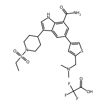 CCS(=O)(=O)N1CCC(c2c[nH]c3c(C(N)=O)cc(-c4csc(CN(C)C)c4)cc23)CC1.O=C(O)C(F)(F)F